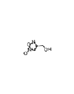 [O-][n+]1cc(CO)no1